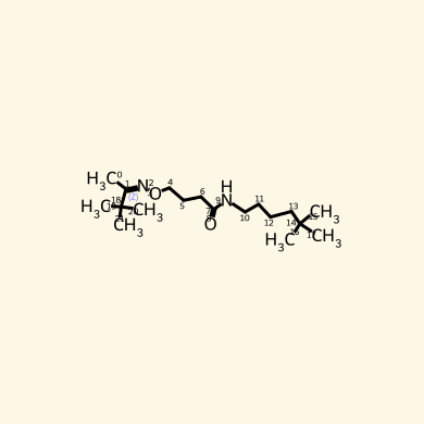 C/C(=N/OCCCC(=O)NCCCCC(C)(C)C)C(C)(C)C